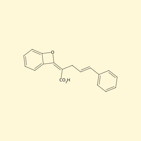 O=C(O)C(CC=Cc1ccccc1)=C1Oc2ccccc21